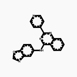 c1ccc2c(Nc3ccc4ocnc4c3)nc(-c3ccncc3)nc2c1